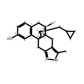 Cc1[nH]nc2c1C[C@@]1(O)[C@H]3Cc4ccc(O)cc4[C@@]1(CCN3CC1CC1)C2